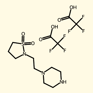 O=C(O)C(F)(F)F.O=C(O)C(F)(F)F.O=S1(=O)CCCN1CCN1CCNCC1